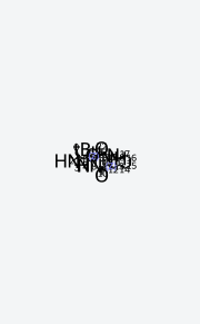 CC(C)(C)c1[nH]cnc1/C=c1\[nH]c(=O)/c(=C/c2ccccc2[N+](=O)[O-])[nH]c1=O